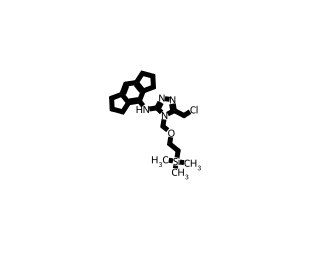 C[Si](C)(C)CCOCn1c(CCl)nnc1Nc1c2c(cc3c1CCC3)CCC2